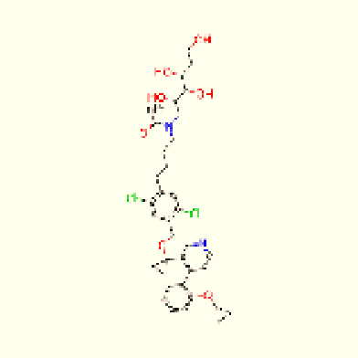 CCCC(=O)N(CCCCc1cc(Cl)c(COC2(c3cnccc3-c3ccccc3OC3CC3)CC2)cc1Cl)CC(O)C(O)C(O)CCO